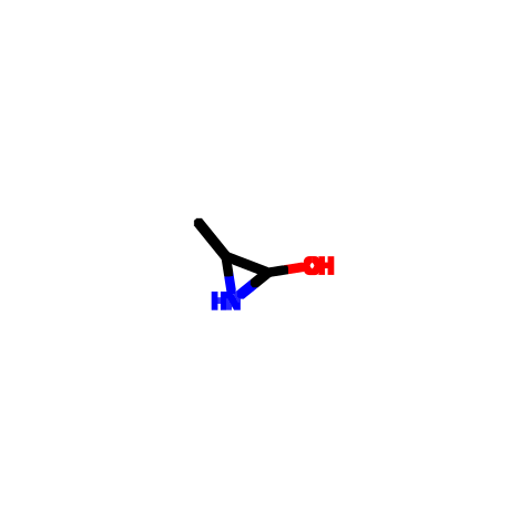 CC1NC1O